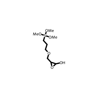 CO[Si](CCCOCC1OC1O)(OC)OC